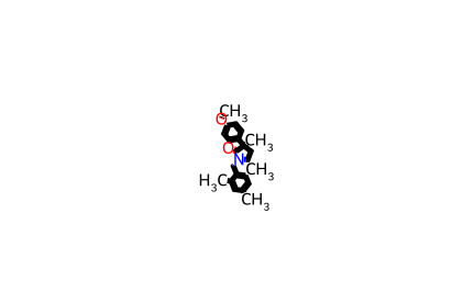 COc1ccc([C@]2(C)CCN(Cc3c(C)cc(C)cc3C)C2=O)cc1